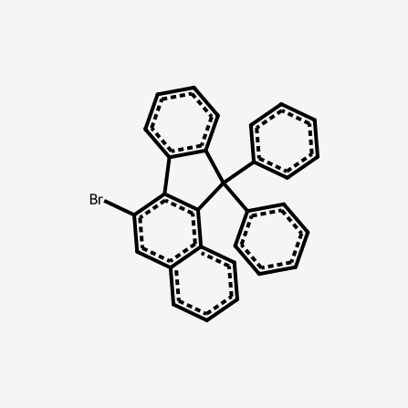 Brc1cc2ccccc2c2c1-c1ccccc1C2(c1ccccc1)c1ccccc1